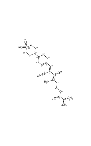 C=C(C)C(=O)OCCN(N)C(=O)/C(C#N)=C/C1=CC=C(N2CCS(=O)(=O)CC2)CC1